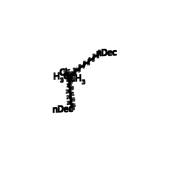 CCCCCCCCCCCCCCCCCCCCCC[N+](C)(C)CCCCCCCCCCCCCCCCCCCC.[Cl-]